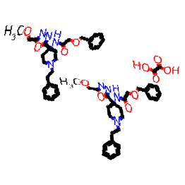 COCc1nnc(C2(NC(=O)COCc3ccccc3)CCN(CCc3ccccc3)CC2)o1.COCc1nnc(C2(NC(=O)COCc3ccccc3)CCN(CCc3ccccc3)CC2)o1.O=C(O)C(=O)O